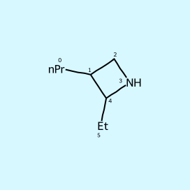 CCCC1CNC1CC